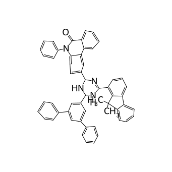 CC1(C)c2ccccc2-c2cccc(C3=NC(c4ccc5c(c4)c4ccccc4c(=O)n5-c4ccccc4)NC(c4cc(-c5ccccc5)cc(-c5ccccc5)c4)N3)c21